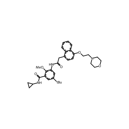 COc1c(NC(=O)Cc2ccc(OCCN3CCOCC3)c3ccccc23)cc(C(C)(C)C)cc1C(=O)NC1CC1